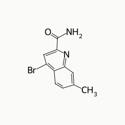 Cc1ccc2c(Br)cc(C(N)=O)nc2c1